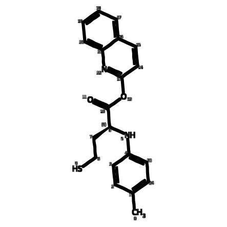 Cc1ccc(N[C@@H](CCS)C(=O)Oc2ccc3ccccc3n2)cc1